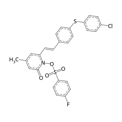 Cc1cc(C=Cc2ccc(Sc3ccc(Cl)cc3)cc2)n(OS(=O)(=O)c2ccc(F)cc2)c(=O)c1